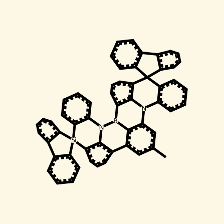 Cc1cc2c3c(c1)N1c4ccccc4C4(c5ccccc5-c5ccccc54)c4cccc(c41)B3N1c3ccccc3[Si]3(c4ccccc4-c4ccccc43)c3cccc-2c31